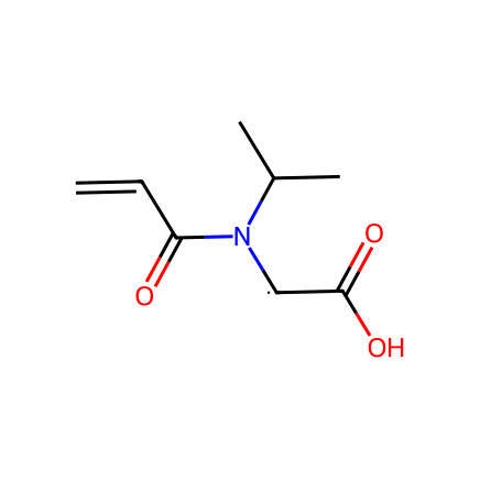 C=CC(=O)N([CH]C(=O)O)C(C)C